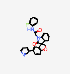 O=C(CN1C(=O)C2(COc3ccc(-c4cccnc4)cc32)C2CC=CC=C21)Nc1ccccc1F